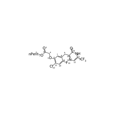 CCCCCOC(=O)COc1cc(Cc2ncc(C(F)(F)F)[nH]c2=O)c(F)cc1Cl